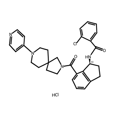 Cl.O=C(N[C@H]1CCc2cccc(C(=O)N3CCC4(CCN(c5ccncc5)CC4)C3)c21)c1ccccc1Cl